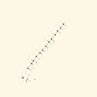 FC(F)(F)O[Si](OC(F)(F)F)(OC(F)(F)C(F)(F)C(F)(F)C(F)(F)C(F)(F)C(F)(F)C(F)(F)C(F)(F)C(F)(F)C(F)(F)C(F)(F)C(F)(F)C(F)(F)C(F)(F)F)C(F)(F)C(F)(F)F